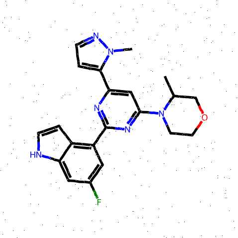 CC1COCCN1c1cc(-c2ccnn2C)nc(-c2cc(F)cc3[nH]ccc23)n1